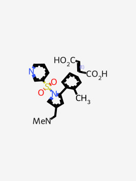 CNCc1cc(-c2ccccc2C)n(S(=O)(=O)c2cccnc2)c1.O=C(O)/C=C/C(=O)O